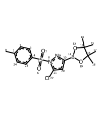 Cc1ccc(S(=O)(=O)n2nc(B3OC(C)(C)C(C)(C)O3)cc2Cl)cc1